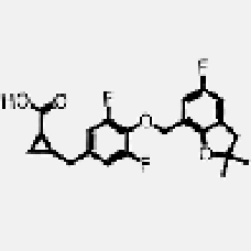 CC1(C)Cc2cc(F)cc(COc3c(F)cc(CC4CC4C(=O)O)cc3F)c2O1